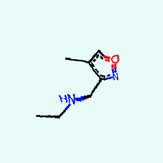 CCNCc1nocc1C